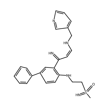 CS(=N)(=O)CCNc1ccc(-c2ccccc2)cc1C(=N)/C=C\NCc1cccnc1